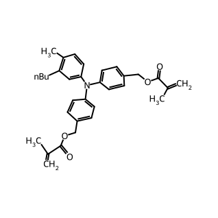 C=C(C)C(=O)OCc1ccc(N(c2ccc(COC(=O)C(=C)C)cc2)c2ccc(C)c(CCCC)c2)cc1